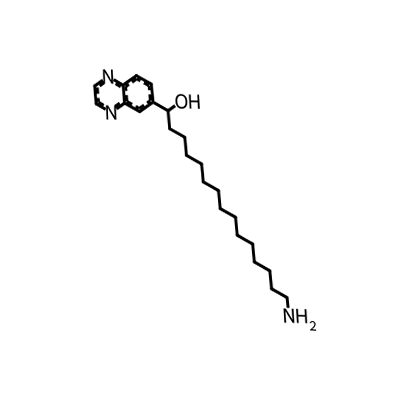 NCCCCCCCCCCCCCCC(O)c1ccc2nccnc2c1